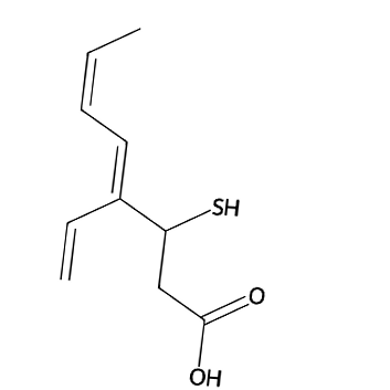 C=C/C(=C\C=C/C)C(S)CC(=O)O